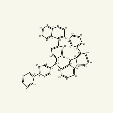 c1ccc(-c2ccc(N(c3ccc(-c4cccc5ccccc45)cc3)c3cccc4c3sc3c(-c5ccccc5)cccc34)cc2)cc1